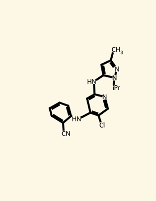 Cc1cc(Nc2cc(Nc3ccccc3C#N)c(Cl)cn2)n(C(C)C)n1